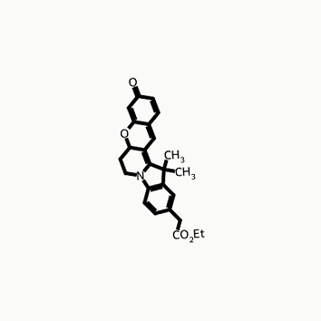 CCOC(=O)Cc1ccc2c(c1)C(C)(C)C1=C3C=C4C=CC(=O)C=C4OC3CCN12